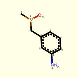 C[S+]([O-])Cc1[c]ccc(N)c1